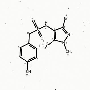 Cn1nc(Br)c(NS(=O)(=O)Cc2ccc(C#N)cc2)c1C(=O)O